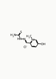 C[n+]1cc(O)ccc1C=NNC(N)=S.[Cl-]